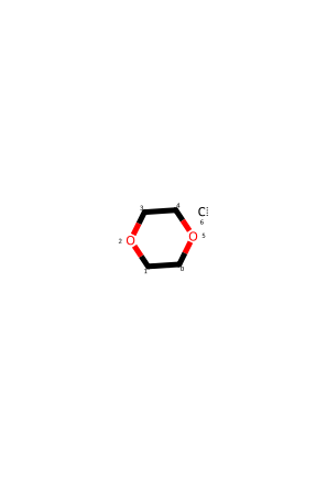 C1COCCO1.[C]